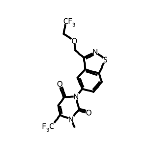 Cn1c(C(F)(F)F)cc(=O)n(-c2ccc3snc(COCC(F)(F)F)c3c2)c1=O